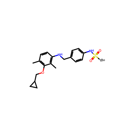 Cc1ccc(NCc2ccc(NS(=O)(=O)C(C)(C)C)cc2)c(C)c1OCC1CC1